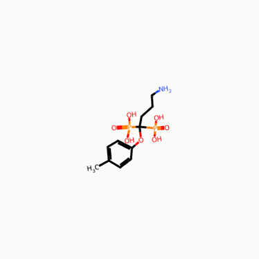 Cc1ccc(OC(CCCN)(P(=O)(O)O)P(=O)(O)O)cc1